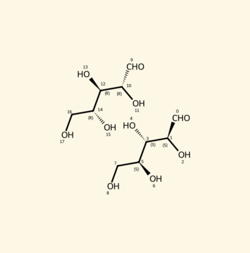 O=C[C@@H](O)[C@@H](O)[C@@H](O)CO.O=C[C@H](O)[C@H](O)[C@H](O)CO